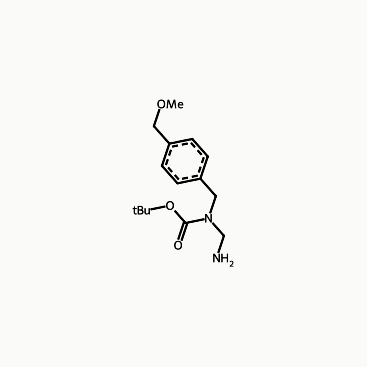 COCc1ccc(CN(CN)C(=O)OC(C)(C)C)cc1